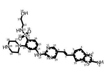 Nc1nc2ccc(/C=C/c3cnc(Nc4ccc(S(=O)(=O)NCCO)c(N5CCNCC5)c4)nc3)cc2s1